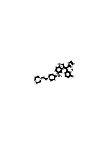 Fc1cccc(/C(=C2/CNc3ccc(NC4CCN(CCN5CCOCC5)CC4)cc32)c2ncc[nH]2)c1